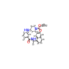 Cc1ccc(NC2CCN(C(=O)OC(C)(C)C)CC2)cc1C(=O)N[C@H](C)c1cccc2ccccc12